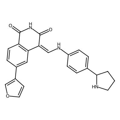 O=C1NC(=O)c2ccc(-c3ccoc3)cc2/C1=C/Nc1ccc(C2CCCN2)cc1